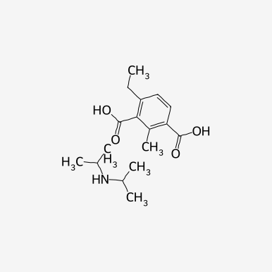 CC(C)NC(C)C.CCc1ccc(C(=O)O)c(C)c1C(=O)O